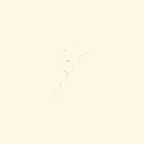 CCCCOC(=O)NC(CCN)C(=O)OC(C)(C)C